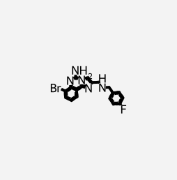 Nc1nc2c(Br)cccc2c2nc(CNCc3ccc(F)cc3)cn12